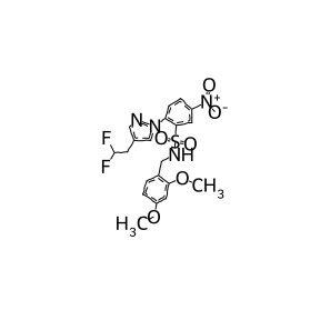 COc1ccc(CNS(=O)(=O)c2cc([N+](=O)[O-])ccc2-n2cc(CC(F)F)cn2)c(OC)c1